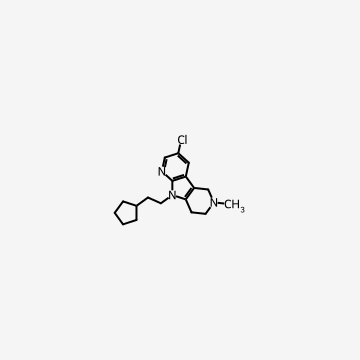 CN1CCc2c(c3cc(Cl)cnc3n2CCC2CCCC2)C1